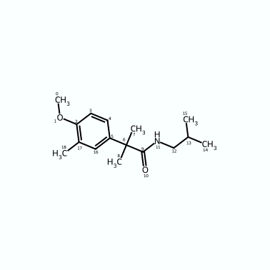 COc1ccc(C(C)(C)C(=O)NCC(C)C)cc1C